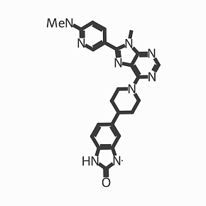 CNc1ccc(-c2nc3c(N4CCC(c5ccc6c(c5)[N]C(=O)N6)CC4)ncnc3n2C)cn1